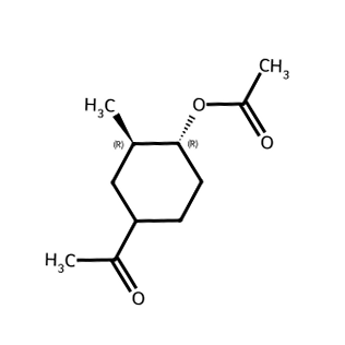 CC(=O)O[C@@H]1CCC(C(C)=O)C[C@H]1C